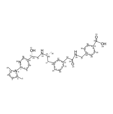 Cc1ccc(C)n1-c1ccc([C@H](O)CN[C@H](C)Cc2cccc(CC(=O)NCc3ccc(C(=O)O)cc3)c2)cn1